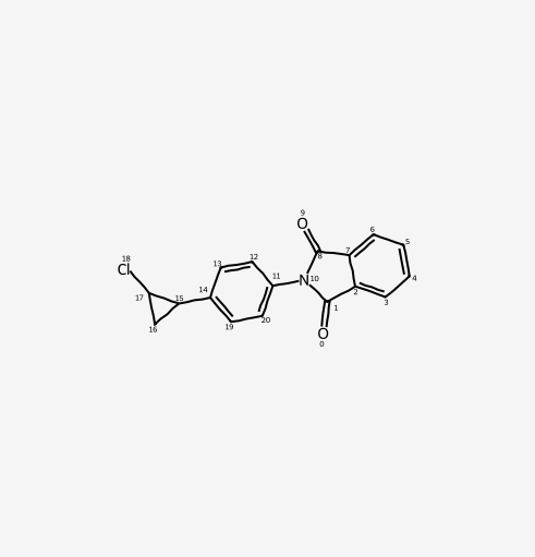 O=C1c2ccccc2C(=O)N1c1ccc(C2CC2Cl)cc1